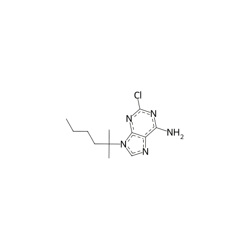 CCCCC(C)(C)n1cnc2c(N)nc(Cl)nc21